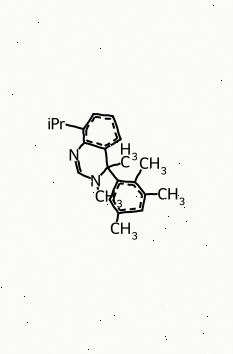 Cc1cc(C)c(C)c(C2(C)c3cccc(C(C)C)c3N=CN2C)c1